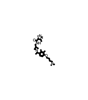 Cc1c(OCCCCN(C)C)ccc(C(C)N2CC(CNC(=O)C3SN=NC3C)C2)c1C